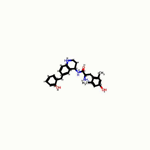 Cc1cc(O)cc(C)c1CC(N)C(=O)NC1CCNc2ccc(Cc3ccccc3O)cc21